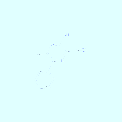 Cc1nc(N)c(C#N)nc1-c1ccccc1